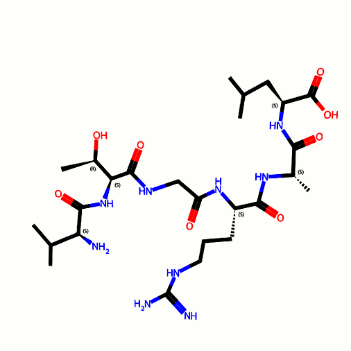 CC(C)C[C@H](NC(=O)[C@H](C)NC(=O)[C@H](CCCNC(=N)N)NC(=O)CNC(=O)[C@@H](NC(=O)[C@@H](N)C(C)C)[C@@H](C)O)C(=O)O